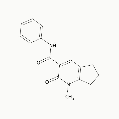 Cn1c2c(cc(C(=O)Nc3ccccc3)c1=O)CCC2